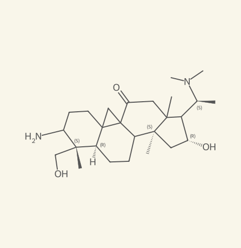 C[C@@H](C1[C@H](O)C[C@@]2(C)C3CC[C@@H]4C5(CCC(N)[C@@]4(C)CO)CC35C(=O)CC12C)N(C)C